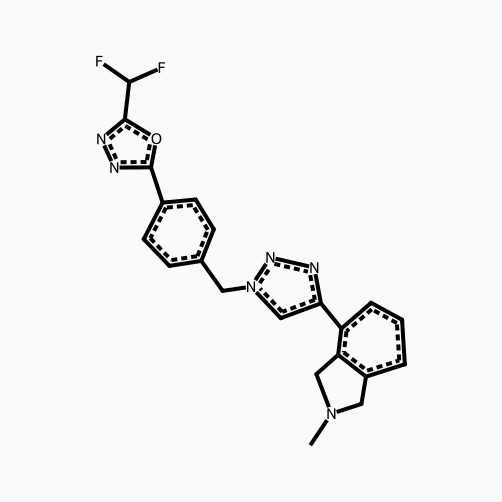 CN1Cc2cccc(-c3cn(Cc4ccc(-c5nnc(C(F)F)o5)cc4)nn3)c2C1